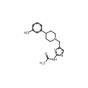 CC(=O)Nc1ncc(CN2CCC(c3cccc(O)c3)CC2)s1